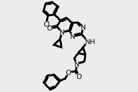 O=C(OCc1ccccc1)N1CC2C(C1)C2Nc1ncc2cc(-c3ccccc3Cl)c(=O)n(C3CC3)c2n1